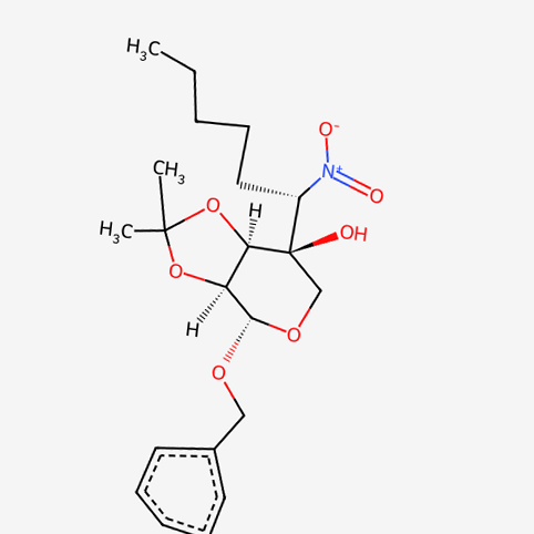 CCCCC[C@H]([N+](=O)[O-])[C@]1(O)CO[C@H](OCc2ccccc2)[C@H]2OC(C)(C)O[C@H]21